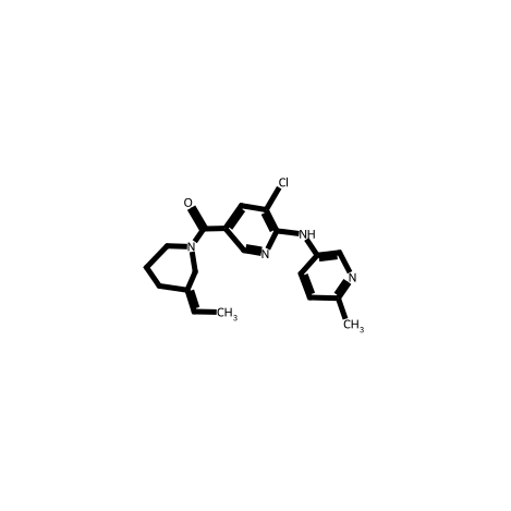 C/C=C1/CCCN(C(=O)c2cnc(Nc3ccc(C)nc3)c(Cl)c2)C1